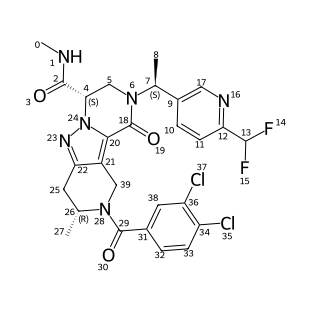 CNC(=O)[C@@H]1CN([C@@H](C)c2ccc(C(F)F)nc2)C(=O)c2c3c(nn21)C[C@@H](C)N(C(=O)c1ccc(Cl)c(Cl)c1)C3